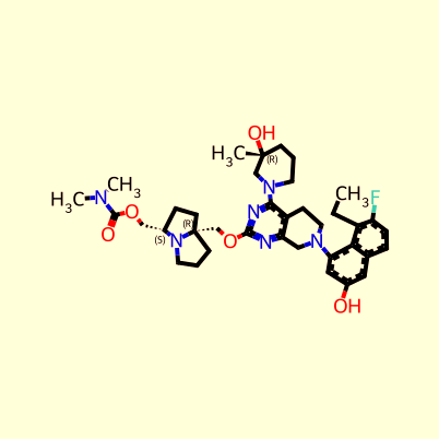 CCc1c(F)ccc2cc(O)cc(N3CCc4c(nc(OC[C@]56CCCN5[C@H](COC(=O)N(C)C)CC6)nc4N4CCC[C@@](C)(O)C4)C3)c12